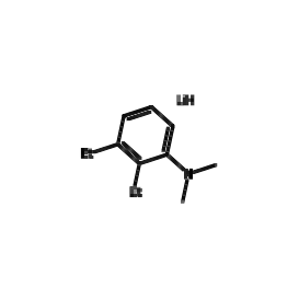 CCc1cccc(N(C)C)c1CC.[LiH]